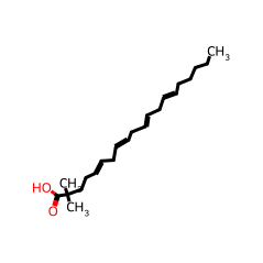 CCCCCC=CCC=CCC=CCC=CCCC(C)(C)C(=O)O